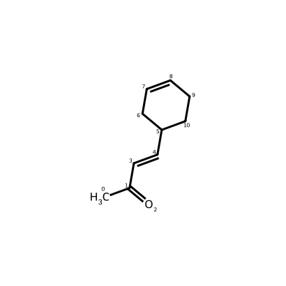 CC(=O)C=CC1CC=CCC1